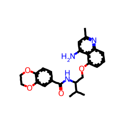 Cc1cc(N)c2c(OCC(NC(=O)c3ccc4c(c3)OCCO4)C(C)C)cccc2n1